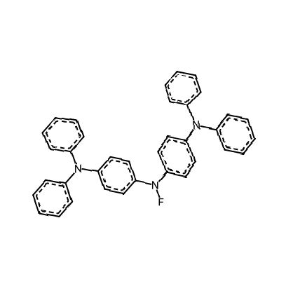 FN(c1ccc(N(c2ccccc2)c2ccccc2)cc1)c1ccc(N(c2ccccc2)c2ccccc2)cc1